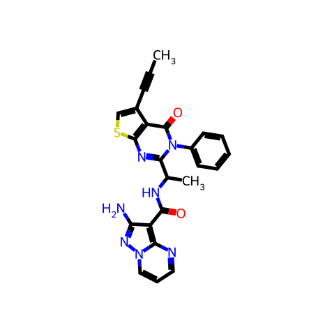 CC#Cc1csc2nc(C(C)NC(=O)c3c(N)nn4cccnc34)n(-c3ccccc3)c(=O)c12